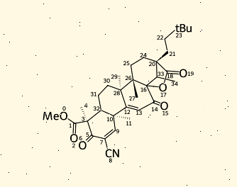 COC(=O)[C@]1(C)C(=O)C(C#N)=C[C@]2(C)C3=CC(=O)C45OC(=O)[C@@](CCC(C)(C)C)(CC[C@@]4(C)[C@]3(C)CCC12)C5C